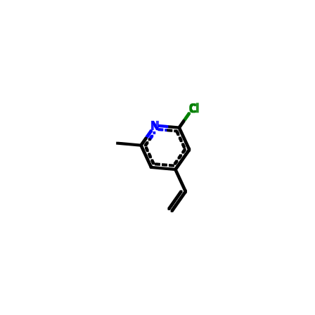 C=Cc1cc(C)nc(Cl)c1